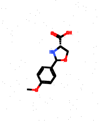 COc1ccc(C2N[C@H](C(=O)O)CO2)cc1